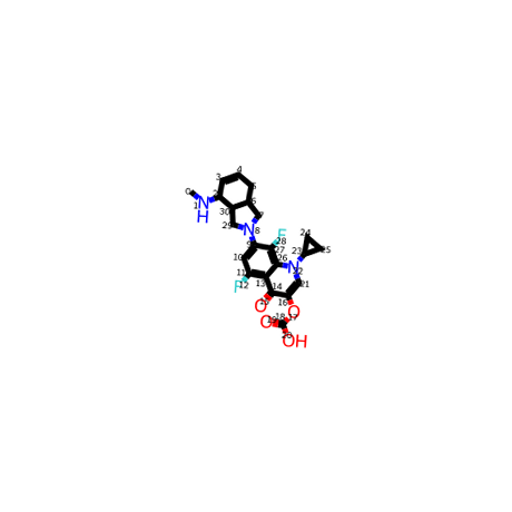 CNC1C=CCC2CN(c3cc(F)c4c(=O)c(OC(=O)O)cn(C5CC5)c4c3F)CC21